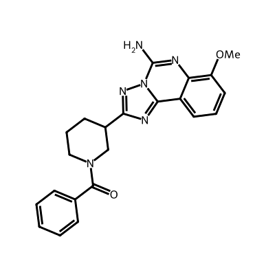 COc1cccc2c1nc(N)n1nc(C3CCCN(C(=O)c4ccccc4)C3)nc21